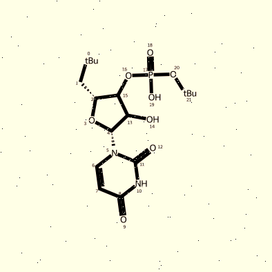 CC(C)(C)C[C@H]1O[C@@H](n2ccc(=O)[nH]c2=O)C(O)C1OP(=O)(O)OC(C)(C)C